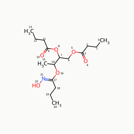 CCCC(=O)OCC(OC(=O)CCC)C(C)OC(CCC)=NO